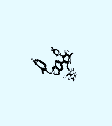 CCc1c(C)nc(CNC(=O)c2nnc(C)o2)c(-c2ccc3c(c2)CCN(Cc2ccc(F)cc2C)C3)c1N1CCC(C)(C)CC1